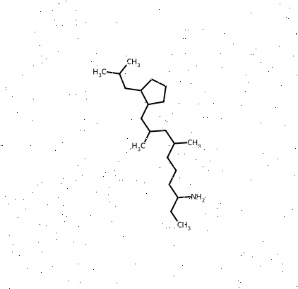 CCC(N)CCCC(C)CC(C)CC1CCCC1CC(C)C